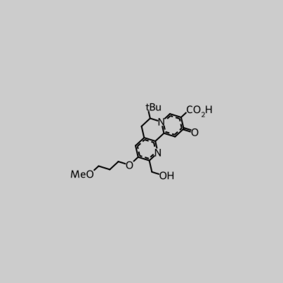 COCCCOc1cc2c(nc1CO)-c1cc(=O)c(C(=O)O)cn1C(C(C)(C)C)C2